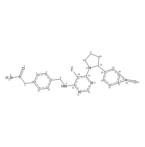 NC(=O)Cc1ccc(CNc2ncnc(N3CCCC3c3ccc4c(=O)c4c3)c2F)cc1